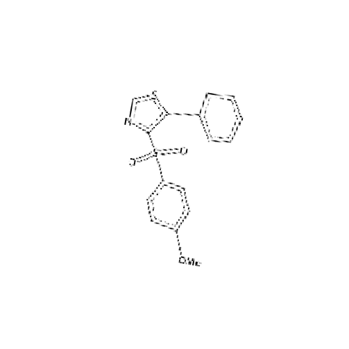 COc1ccc(S(=O)(=O)c2ncsc2-c2ccccc2)cc1